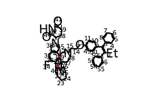 CCC(=C(c1ccccc1)c1ccc(OCCN2CCC(CN3C4CCC3CN(c3cc5c(cc3F)CN(C3CCC(=O)NC3=O)C5)C4)CC2)cc1)c1ccccc1